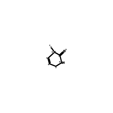 O=C1NCC=CN1I